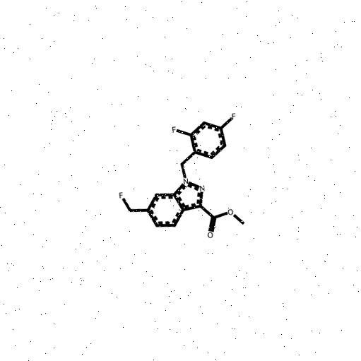 COC(=O)c1nn(Cc2ccc(F)cc2F)c2cc(CF)ccc12